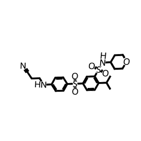 CC(C)c1ccc(S(=O)(=O)c2ccc(NCCC#N)cc2)cc1S(=O)(=O)NC1CCOCC1